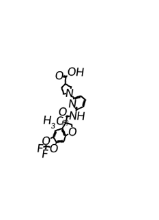 C[C@]1(C(=O)Nc2cccc(N3CCC(C(=O)O)C3)n2)COc2cc3c(cc21)OC(F)(F)O3